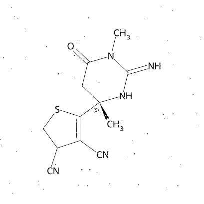 CN1C(=N)N[C@](C)(C2=C(C#N)C(C#N)CS2)CC1=O